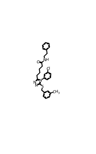 Cc1cccc(CSc2nnc(CCCCC(=O)NCCc3ccccc3)n2-c2cccc(Cl)c2)c1